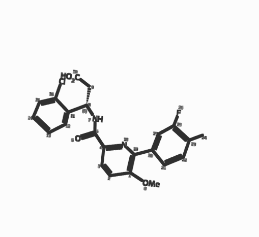 COc1ccc(C(=O)N[C@@H](CC(=O)O)c2ccccc2Cl)nc1-c1ccc(C)c(F)c1